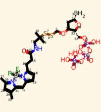 B[C@H]1CC(OCSSC(C)(C)CNC(=O)CCc2ccc3n2[B-](F)(F)[N+]2=C(C)C=C(C)C2=C3)[C@@H](COP(=O)(O)OP(=O)(O)OP(=O)(O)O)O1